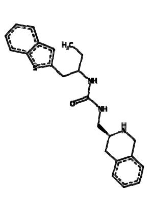 CCC(Cc1cc2ccccc2s1)NC(=O)NC[C@@H]1Cc2ccccc2CN1